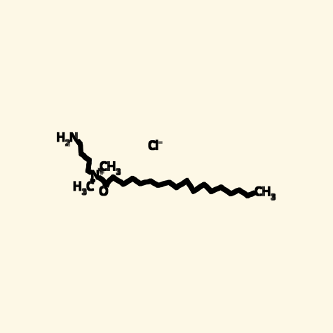 CCCCCCCCCCCCCCCCCC(=O)[N+](C)(C)CCCCN.[Cl-]